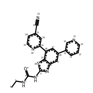 CCNC(=O)Nc1nc2cc(-c3cccnc3)cc(-c3cc(C#N)ccn3)c2s1